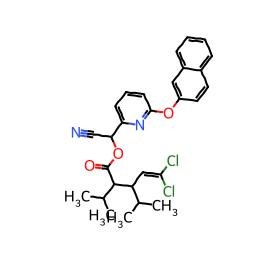 CC(C)C(C=C(Cl)Cl)C(C(=O)OC(C#N)c1cccc(Oc2ccc3ccccc3c2)n1)C(C)C